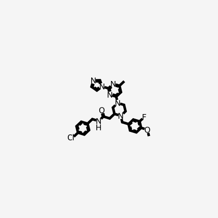 COc1ccc(CN2CCN(c3cc(C)nc(-n4ccnc4)n3)CC2CC(=O)NCc2ccc(Cl)cc2)cc1F